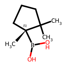 CC1(C)CCC[C@@]1(C)B(O)O